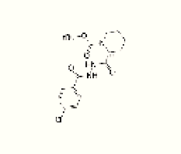 CC(C)(C)OC(=O)N1CCCC[C@@H]1C(=O)NNC(=O)c1ccc(Cl)cc1